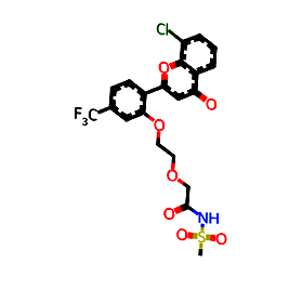 CS(=O)(=O)NC(=O)COCCOc1cc(C(F)(F)F)ccc1-c1cc(=O)c2cccc(Cl)c2o1